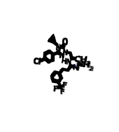 C=C(Cn1nc(-c2ccc(Cl)cc2)n(C2CC2)c1=O)N/C(CCc1cccc(C(F)(F)F)c1)=N\N